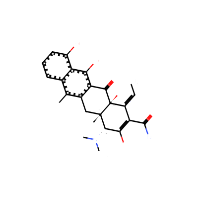 C/C=C1/C(C(N)=O)=C(O)[C@H](N(C)C)[C@@H]2Cc3c(c(O)c4c(O)cccc4c3C)C(=O)[C@]12O